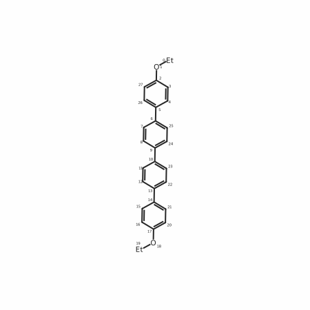 CCOc1ccc(-c2ccc(-c3ccc(-c4ccc(OCC)cc4)cc3)cc2)cc1